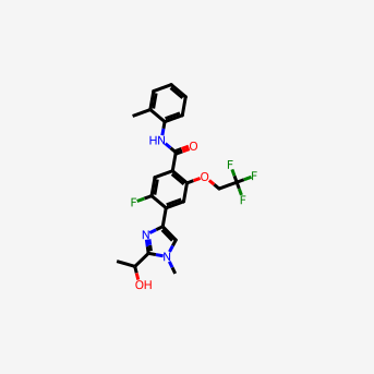 Cc1ccccc1NC(=O)c1cc(F)c(-c2cn(C)c(C(C)O)n2)cc1OCC(F)(F)F